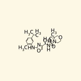 Cc1ccc(C(C)C)cc1Nc1nc(C(=O)NS(=O)(=O)N2CCOCC2(C)C)co1